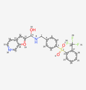 O=S(=O)(c1ccc(CNC(O)c2cc3ccncc3o2)cc1)c1ccccc1C(F)(F)F